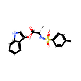 Cc1ccc(S(=O)(=O)N[C@@H](C)C(=O)Oc2c[nH]c3ccccc23)cc1